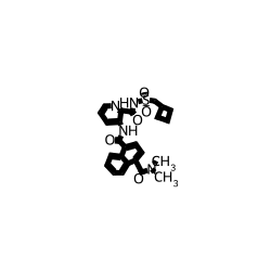 CN(C)C(=O)c1ccc(C(=O)Nc2cccnc2C(=O)NS(=O)(=O)CC2CCC2)c2ccccc12